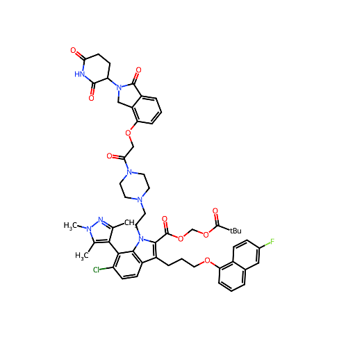 Cc1nn(C)c(C)c1-c1c(Cl)ccc2c(CCCOc3cccc4cc(F)ccc34)c(C(=O)OCOC(=O)C(C)(C)C)n(CCN3CCN(C(=O)COc4cccc5c4CN(C4CCC(=O)NC4=O)C5=O)CC3)c12